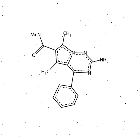 CNC(=O)c1c(C)c2c(-c3ccccc3)nc(N)nn2c1C